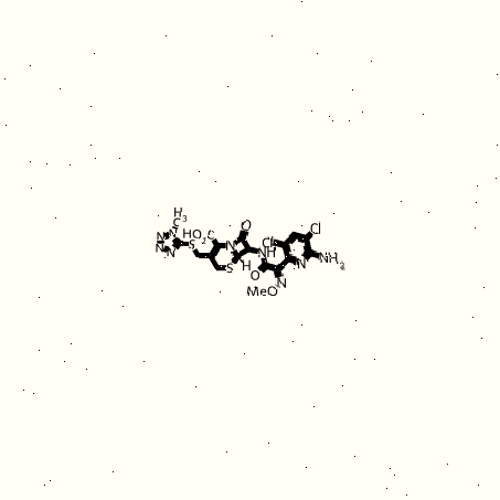 CO/N=C(\C(=O)NC1C(=O)N2C(C(=O)O)=C(CSc3nnnn3C)CS[C@H]12)c1nc(N)c(Cl)cc1Cl